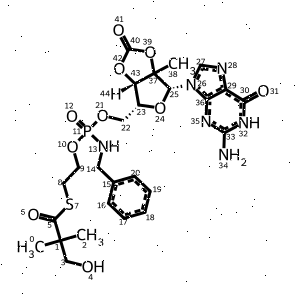 CC(C)(CO)C(=O)SCCOP(=O)(NCc1ccccc1)OC[C@H]1O[C@@H](n2cnc3c(=O)[nH]c(N)nc32)C2(C)OC(=O)O[C@@H]12